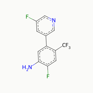 Nc1cc(-c2cncc(F)c2)c(C(F)(F)F)cc1F